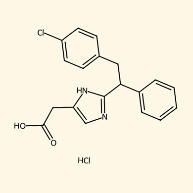 Cl.O=C(O)Cc1cnc(C(Cc2ccc(Cl)cc2)c2ccccc2)[nH]1